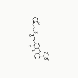 CC(C)c1ccccc1Sc1ccc(C=CC(=O)NCCCN2CCCC2=O)c(Cl)c1Cl